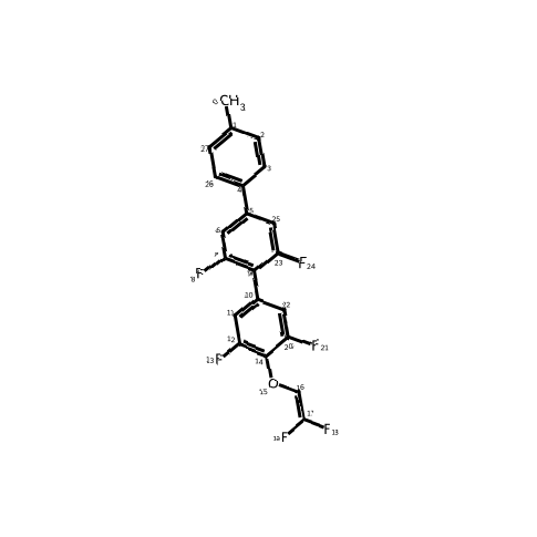 Cc1ccc(-c2cc(F)c(-c3cc(F)c(OC=C(F)F)c(F)c3)c(F)c2)cc1